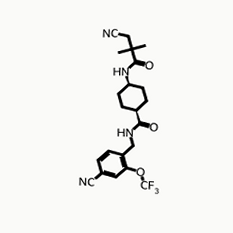 CC(C)(CC#N)C(=O)N[C@H]1CC[C@@H](C(=O)NCc2ccc(C#N)cc2OC(F)(F)F)CC1